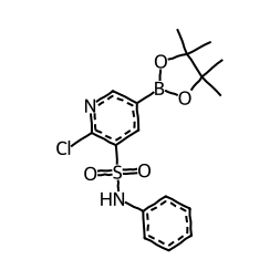 CC1(C)OB(c2cnc(Cl)c(S(=O)(=O)Nc3ccccc3)c2)OC1(C)C